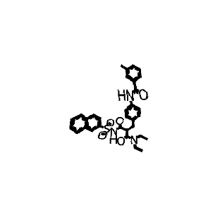 CCN(CC)C(=O)C(Cc1ccc(NC(=O)c2cccc(C)c2)cc1)C(=O)NS(=O)(=O)c1ccc2ccccc2c1